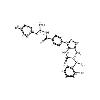 Cc1noc(-c2ccc(C(=O)NC(Cc3ccc(Br)cc3)C(=O)O)cc2)c1NC(=O)OC(C)c1ccccc1Cl